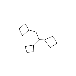 C1CC(C[C](C2CCC2)C2CCC2)C1